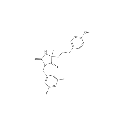 COc1ccc(CCCC2(C)NC(=O)N(Cc3cc(F)cc(F)c3)C2=O)cc1